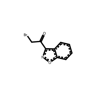 O=C(CBr)c1noc2ccccc12